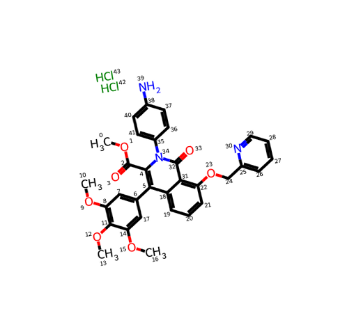 COC(=O)c1c(-c2cc(OC)c(OC)c(OC)c2)c2cccc(OCc3ccccn3)c2c(=O)n1-c1ccc(N)cc1.Cl.Cl